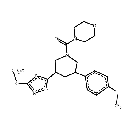 CCOC(=O)Oc1noc(C2CC(c3ccc(OC(F)(F)F)cc3)CN(C(=O)N3CCOCC3)C2)n1